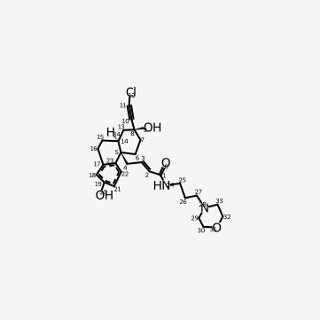 O=C(/C=C/C[C@]12CC[C@@](O)(C#CCl)C[C@@H]1CCc1cc(O)ccc12)NCCCN1CCOCC1